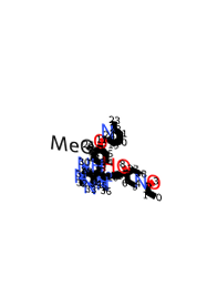 C=CC(=O)N1CCC(O)(C#Cc2c(-c3ccc(Oc4cccc(C)n4)c(OC)c3)c3c(N)ncnc3n2C)CC1